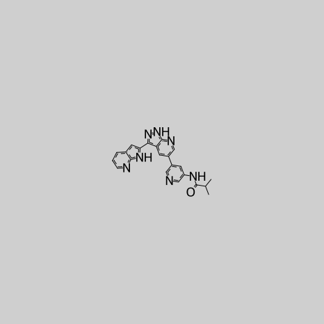 CC(C)C(=O)Nc1cncc(-c2cnc3[nH]nc(-c4cc5cccnc5[nH]4)c3c2)c1